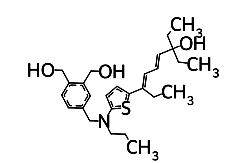 CCCN(Cc1ccc(CO)c(CO)c1)c1ccc(C(=CC=CC(O)(CC)CC)CC)s1